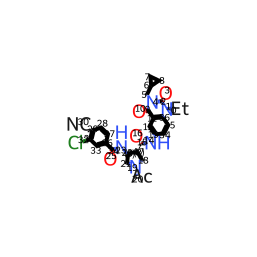 CCn1c(=O)n(CC2CC2)c(=O)c2cc(NC(=O)[C@@H]3CN(C(C)=O)C[C@H]3NC(=O)c3ccc(C#N)c(Cl)c3)ccc21